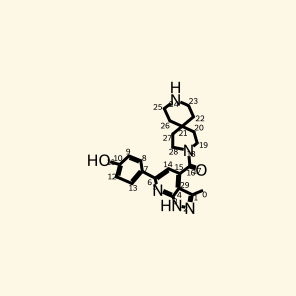 Cc1n[nH]c2nc(-c3ccc(O)cc3)cc(C(=O)N3CCC4(CCNCC4)CC3)c12